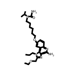 CCCn1c(COCC)nc2c(N)nc3ccc(OCCCCCCN(C(N)=O)C(C)C)cc3c21